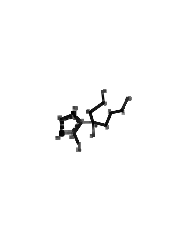 CCCCC(C)(CCC)c1ncoc1I